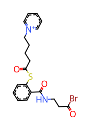 O=C(Br)CCNC(=O)c1ccccc1SC(=O)CCCC[n+]1ccccc1